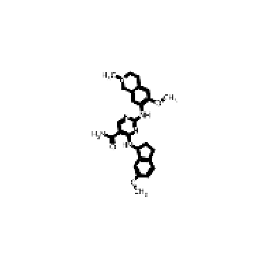 COc1ccc2c(c1)C(Nc1nc(Nc3cc4c(cc3OC)CCN(C)C4)ncc1C(N)=O)CC2